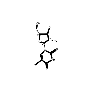 Cc1cn([C@@H]2O[C@H](CO)C(O)[C@@H]2C)c(=O)[nH]c1=O